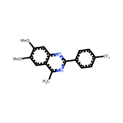 COc1cc2nc(-c3ccc(C(F)(F)F)cc3)nc(C)c2cc1OC